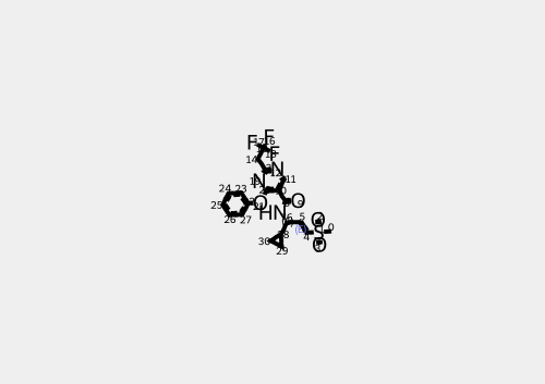 CS(=O)(=O)/C=C/[C@@H](NC(=O)c1cnc(CC(F)(F)F)nc1Oc1ccccc1)C1CC1